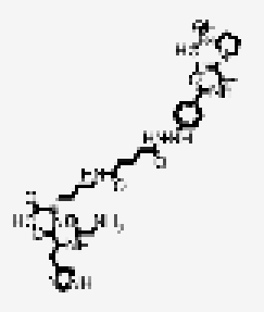 C[C@@H](NC(=O)c1ccc(NNC(=O)CCCC(=O)NCCCC[C@H](NC(=O)C(Cc2c[nH]cn2)NC(=O)CN)C(=O)O)cc1)C(=O)N1CCC[C@H]1B(O)O